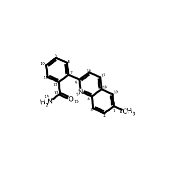 Cc1ccc2nc(-c3ccccc3C(N)=O)ccc2c1